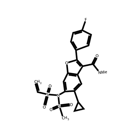 C=CS(=O)(=O)N(c1cc2oc(-c3ccc(F)cc3)c(C(=O)NC)c2cc1C1CC1)S(C)(=O)=O